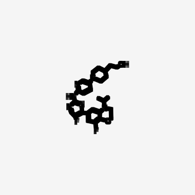 CC(C)N1CCOc2c(F)cc(-c3nc(Nc4ccc(N5CCC(CCO)CC5)cn4)ncc3F)cc21